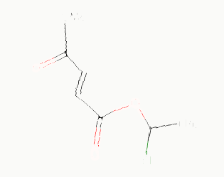 CCCCC(Cl)OC(=O)/C=C/C(=O)OC